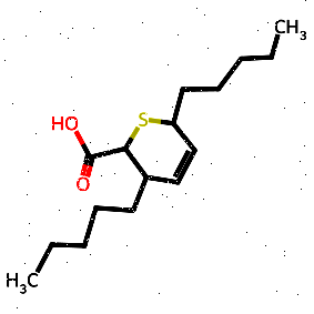 CCCCCC1C=CC(CCCCC)C(C(=O)O)S1